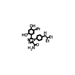 CCC(CC)Nc1ccc(-n2c(C(N)=O)nnc2-c2cc(C(C)C)c(O)cc2O)cc1